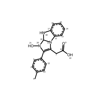 Cc1ccc(C2=C(CC(=O)O)N3c4ccccc4NC3N2O)cc1